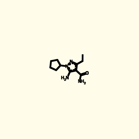 CCc1nn(C2CCCC2)c(N)c1C(N)=O